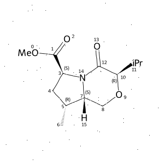 COC(=O)[C@@H]1C[C@@H](C)[C@H]2CO[C@H](C(C)C)C(=O)N21